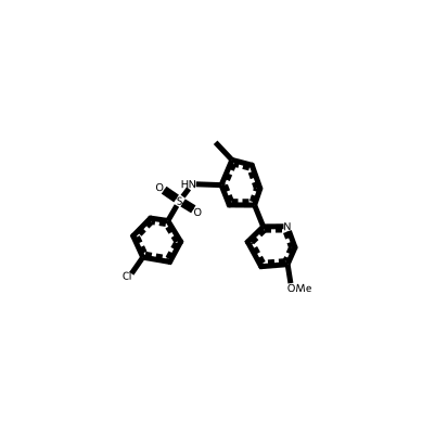 COc1ccc(-c2ccc(C)c(NS(=O)(=O)c3ccc(Cl)cc3)c2)nc1